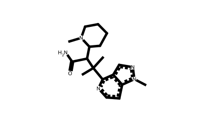 CN1CCCCC1C(C(N)=O)C(C)(C)c1nccc2c1cnn2C